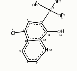 CCC[Si](CCC)(CCC)c1cc(Cl)c2cccnc2c1O